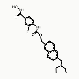 CCN(CC)Cc1ccc2cc(COC(=O)Nc3ccc(C(=O)NO)cc3F)ccc2c1